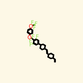 C=CC1CCC(/C=C/C2CCC(c3cc(F)c(C(F)(F)Oc4ccc(OC(F)(F)F)cc4)c(F)c3)CC2)CC1